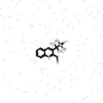 CC(C)(c1cc2ccccc2nc1CBr)P(=O)(O)O